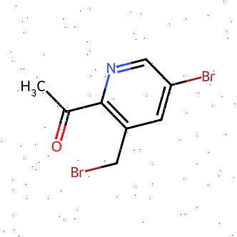 CC(=O)c1ncc(Br)cc1CBr